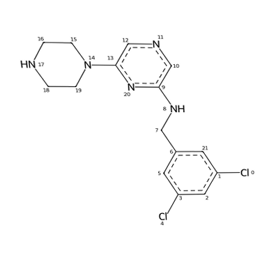 Clc1cc(Cl)cc(CNc2cncc(N3CCNCC3)n2)c1